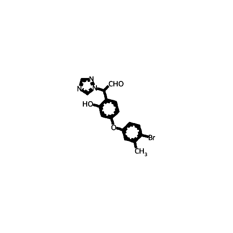 Cc1cc(Oc2ccc(C(C=O)n3cncn3)c(O)c2)ccc1Br